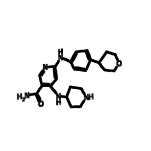 NC(=O)c1cnc(Nc2ccc(C3CCOCC3)cc2)cc1NC1CCNCC1